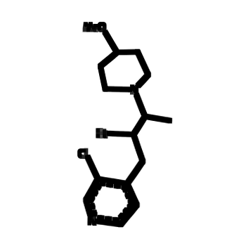 CCC(Cc1ccncc1Cl)C(C)N1CCC(OC)CC1